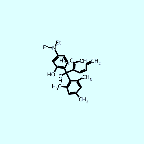 C=C/C=C\C(=C(/C)C(=O)O)C(C)(c1ccc(N(CC)CC)cc1O)c1c(C)cc(C)cc1C